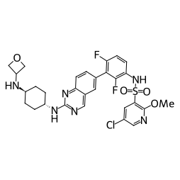 COc1ncc(Cl)cc1S(=O)(=O)Nc1ccc(F)c(-c2ccc3nc(N[C@H]4CC[C@H](NC5COC5)CC4)ncc3c2)c1F